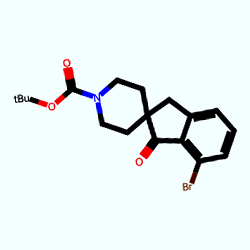 CC(C)(C)OC(=O)N1CCC2(CC1)Cc1cccc(Br)c1C2=O